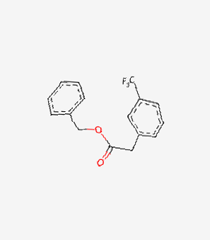 O=C(Cc1cccc(C(F)(F)F)c1)OCc1ccccc1